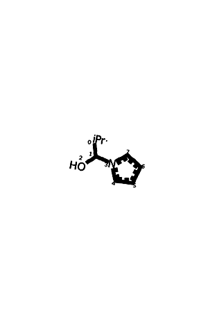 C[C](C)C(O)n1cccc1